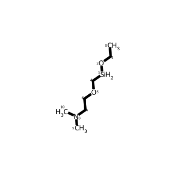 CCO[SiH2]COCCN(C)C